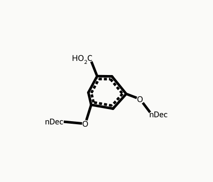 CCCCCCCCCCOc1cc(OCCCCCCCCCC)cc(C(=O)O)c1